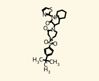 CC(C)(C)c1ccc(S(=O)(=O)N2CCN(C(CC3CCCCC3)C(=O)Nc3nccs3)C(=O)C2)cc1